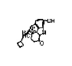 O=C1CC[C@@]2(O)[C@H]3Cc4ccc(O)c5c4[C@@]2(CC/[N+]3=C\C2CCC2)[C@H]1O5